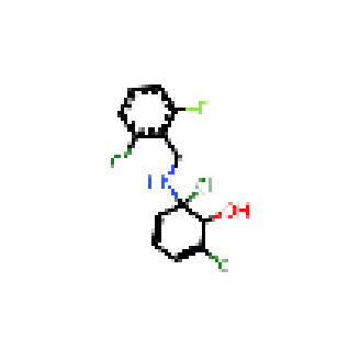 OC1C(Cl)=CC=CC1(Cl)NCc1c(F)cccc1Cl